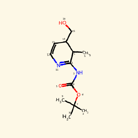 CC1C(NC(=O)OC(C)(C)C)=NC=CC1CO